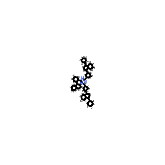 c1ccc(-c2ccc(-c3ccc(-c4nc(-c5cccc(-c6ccc(-c7ccccc7)c7ccccc67)c5)nc(-c5ccccc5-c5cccc6ccccc56)n4)cc3)c3ccccc23)cc1